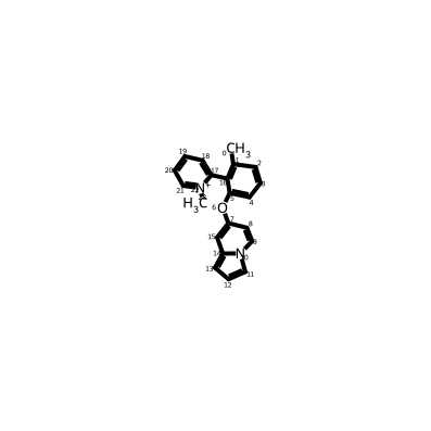 Cc1cccc(Oc2ccn3cccc3c2)c1-c1cccc[n+]1C